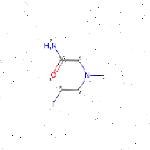 CN(CCI)CC(N)=O